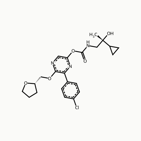 C[C@](O)(CNC(=O)Oc1cnc(OC[C@@H]2CCCO2)c(-c2ccc(Cl)cc2)n1)C1CC1